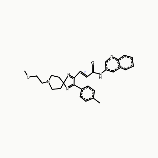 COCCN1CCC2(CC1)N=C(/C=C/C(=O)Nc1cnc3ccccc3c1)C(c1ccc(C)cc1)=N2